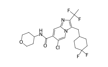 CC(F)(F)c1nc2cc(C(=O)NC3CCOCC3)c(Cl)cn2c1CC1CCC(F)(F)CC1